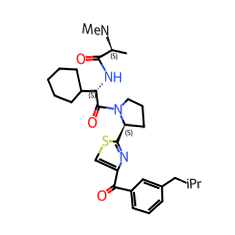 CN[C@@H](C)C(=O)N[C@H](C(=O)N1CCC[C@H]1c1nc(C(=O)c2cccc(CC(C)C)c2)cs1)C1CCCCC1